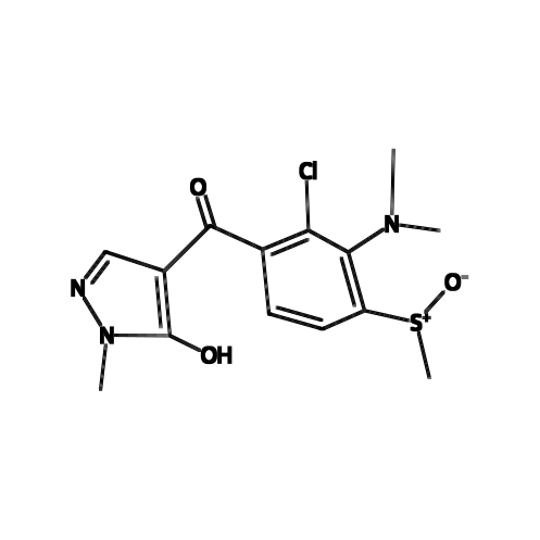 CN(C)c1c([S+](C)[O-])ccc(C(=O)c2cnn(C)c2O)c1Cl